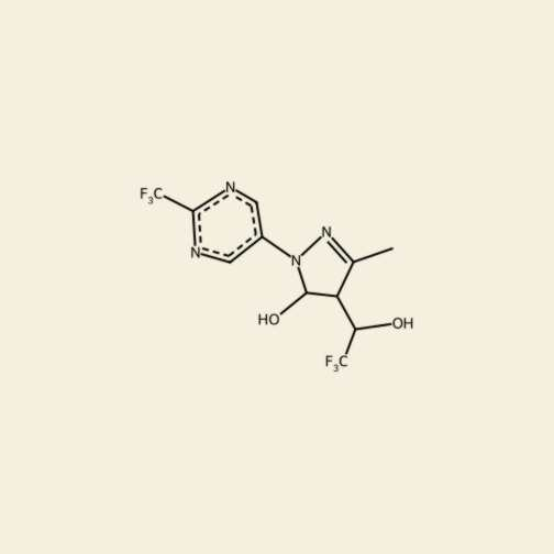 CC1=NN(c2cnc(C(F)(F)F)nc2)C(O)C1C(O)C(F)(F)F